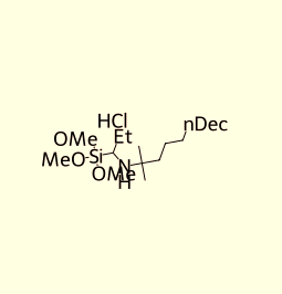 CCCCCCCCCCCCCC(C)(C)NC(CC)[Si](OC)(OC)OC.Cl